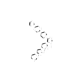 c1c[nH]cn1.c1ccncc1.c1ccnnc1.c1cn[nH]c1.c1cnccn1.c1cncnc1.c1cscn1